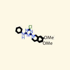 COc1cc2c(cc1OC)CN(c1nc(Cl)nc(NC3CCCCC3)n1)CC2